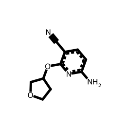 N#Cc1ccc(N)nc1OC1CCOC1